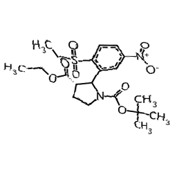 CCOC(=O)[C@H]1CCN(C(=O)OC(C)(C)C)C1c1cc([N+](=O)[O-])ccc1S(=O)(=O)CC